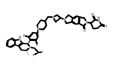 C[C@@H]1Cc2c([nH]c3ccccc23)[C@@H](c2c(F)cc(N3CCC(CN4CC(N5Cc6cc7c(cc6C5)C(=O)N(C5CCC(=O)NC5=O)C7)C4)CC3)cc2F)N1CC(F)F